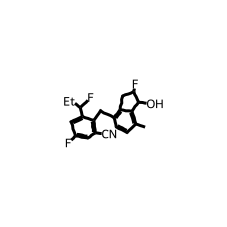 CCC(F)c1cc(F)cc(C#N)c1Cc1ccc(C)c2c1CC(F)C2O